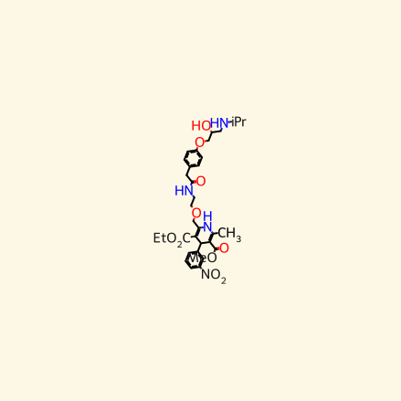 CCOC(=O)C1=C(COCCNC(=O)Cc2ccc(OCC(O)CNC(C)C)cc2)NC(C)=C(C(=O)OC)C1c1cccc([N+](=O)[O-])c1